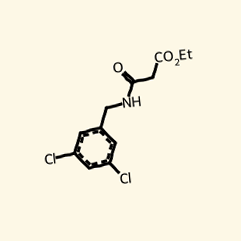 CCOC(=O)CC(=O)NCc1cc(Cl)cc(Cl)c1